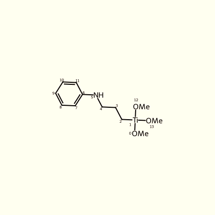 C[O][Ti]([CH2]CCNc1ccccc1)([O]C)[O]C